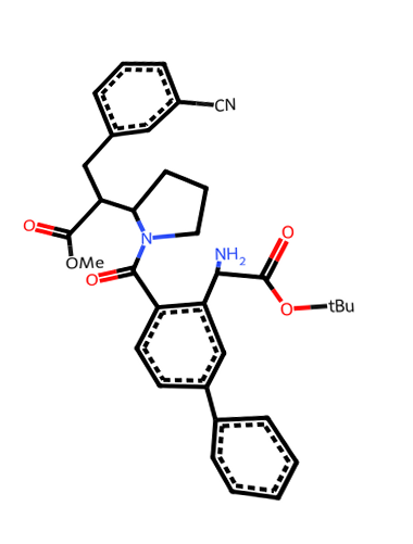 COC(=O)C(Cc1cccc(C#N)c1)C1CCCN1C(=O)c1ccc(-c2ccccc2)cc1C(N)C(=O)OC(C)(C)C